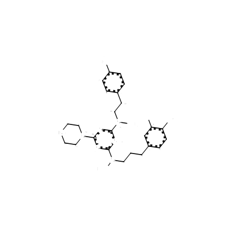 CN(CCCc1ccc(F)c(F)c1)c1nc(N(C)CCc2ccc(O)cc2)nc(N2CCNCC2)n1